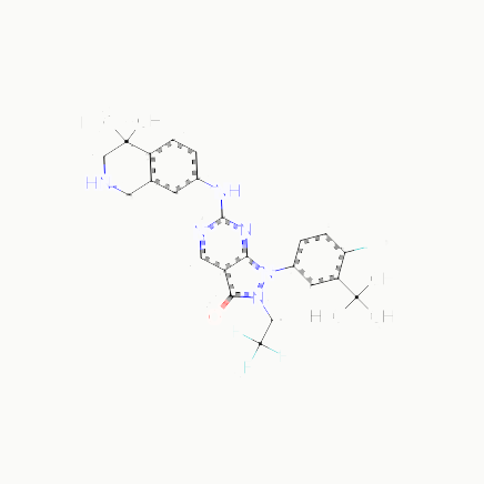 CC(C)(C)c1cc(-n2c3nc(Nc4ccc5c(c4)CNCC5(C)C)ncc3c(=O)n2CC(F)(F)F)ccc1F